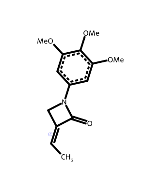 C/C=C1/CN(c2cc(OC)c(OC)c(OC)c2)C1=O